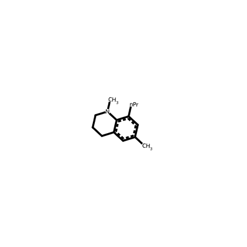 CCCc1cc(C)cc2c1N(C)CCC2